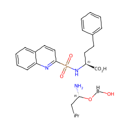 CC(C)C[C@H](N)OBO.O=C(O)[C@H](CCc1ccccc1)NS(=O)(=O)c1ccc2ccccc2n1